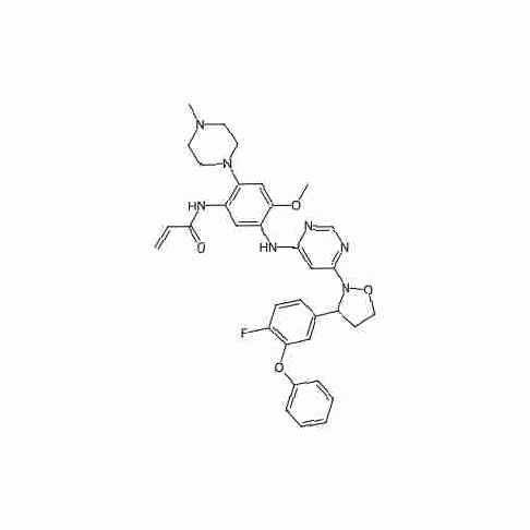 C=CC(=O)Nc1cc(Nc2cc(N3OCCC3c3ccc(F)c(Oc4ccccc4)c3)ncn2)c(OC)cc1N1CCN(C)CC1